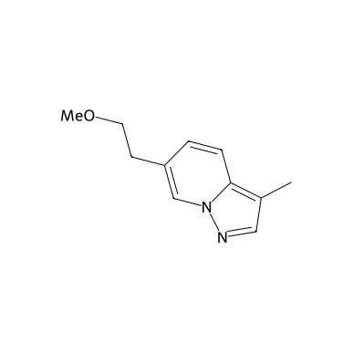 COCCc1ccc2c(C)cnn2c1